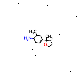 CC1CC(C2(C)CCCO2)=CCC1N